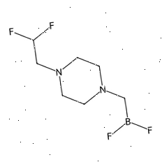 FB(F)CN1CCN(CC(F)F)CC1